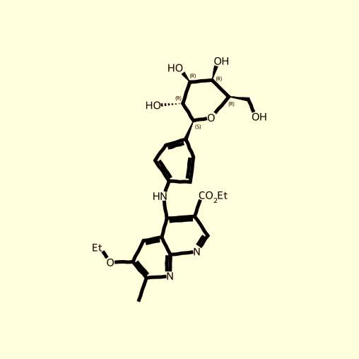 CCOC(=O)c1cnc2nc(C)c(OCC)cc2c1Nc1ccc([C@@H]2O[C@H](CO)[C@H](O)[C@H](O)[C@H]2O)cc1